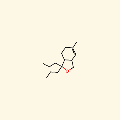 CCCC1(CCC)OCC2C=C(C)CCC21